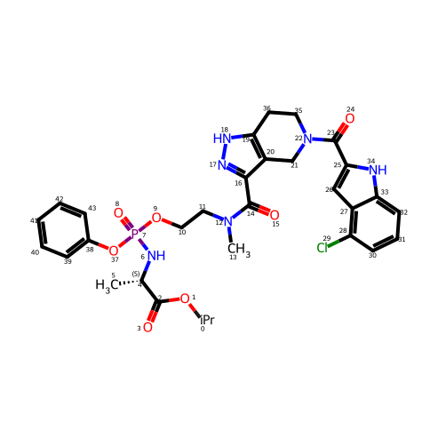 CC(C)OC(=O)[C@H](C)NP(=O)(OCCN(C)C(=O)c1n[nH]c2c1CN(C(=O)c1cc3c(Cl)cccc3[nH]1)CC2)Oc1ccccc1